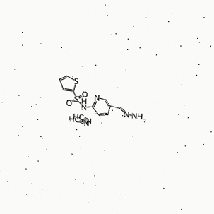 C#N.C#N.NN=Cc1ccc(NS(=O)(=O)c2cccs2)nc1